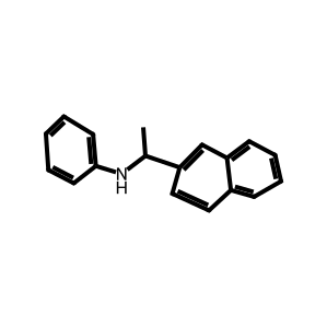 CC(Nc1ccccc1)c1ccc2ccccc2c1